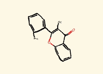 CC(=O)c1ccccc1-c1oc2ccccc2c(=O)c1C(C)=O